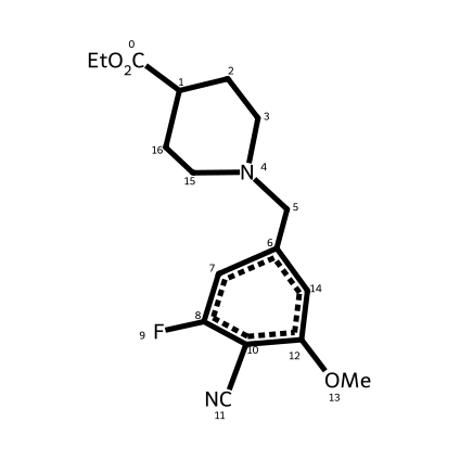 CCOC(=O)C1CCN(Cc2cc(F)c(C#N)c(OC)c2)CC1